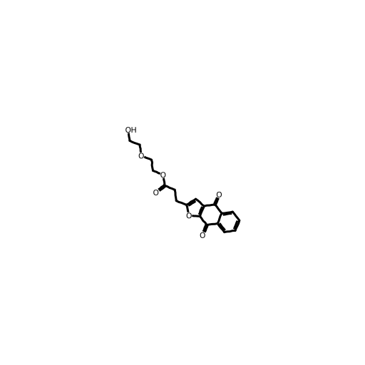 O=C(CCc1cc2c(o1)C(=O)c1ccccc1C2=O)OCCOCCO